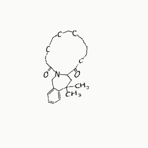 CC1(C)CC2C(=O)CCCCCCCCCCCC(=O)N2Cc2ccccc21